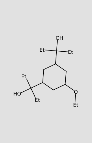 CCOC1CC(C(O)(CC)CC)CC(C(O)(CC)CC)C1